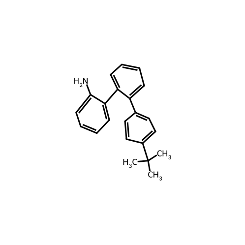 CC(C)(C)c1ccc(-c2ccccc2-c2ccccc2N)cc1